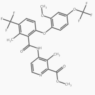 COC(=O)c1nccc(NC(=O)c2c(Oc3ccc(OC(F)(F)F)cc3OC)ccc(C(F)(F)F)c2C)c1C